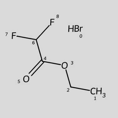 Br.CCOC(=O)C(F)F